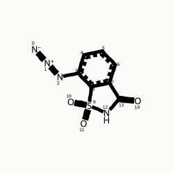 [N-]=[N+]=Nc1cccc2c1S(=O)(=O)NC2=O